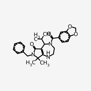 CC(C)C1C2=C(NCCN1C(=O)c1ccc3c(c1)OCO3)C(C)(C)N(Cc1ccccc1)C2=O